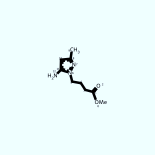 COC(=O)CCCn1nc(C)cc1N